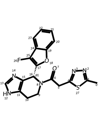 Cc1nnc(CC(=O)N2CCc3[nH]cnc3[C@@H]2c2oc3ccccc3c2F)s1